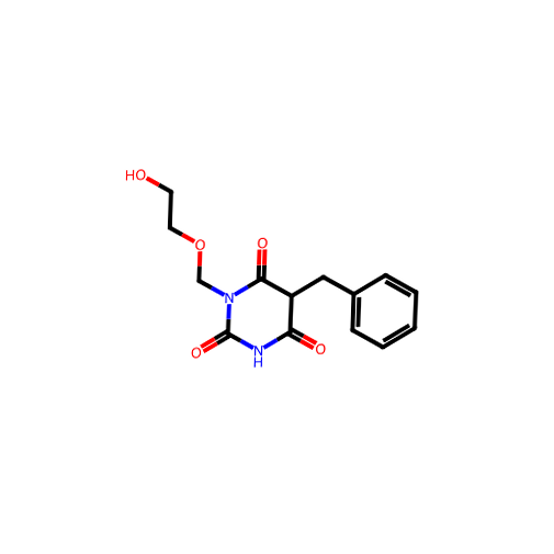 O=C1NC(=O)N(COCCO)C(=O)C1Cc1ccccc1